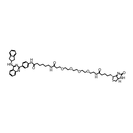 O=C(CCCC[C@@H]1SC[C@@H]2NC(=O)N=C21)NCCOCCOCCOCCOCCC(=O)NCCCCCC(=O)Nc1ccc(-c2nc(NC3Cc4ccccc4C3)c3ccccc3n2)cc1